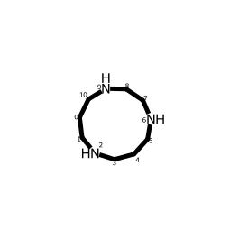 C1CNCCCNCCNC1